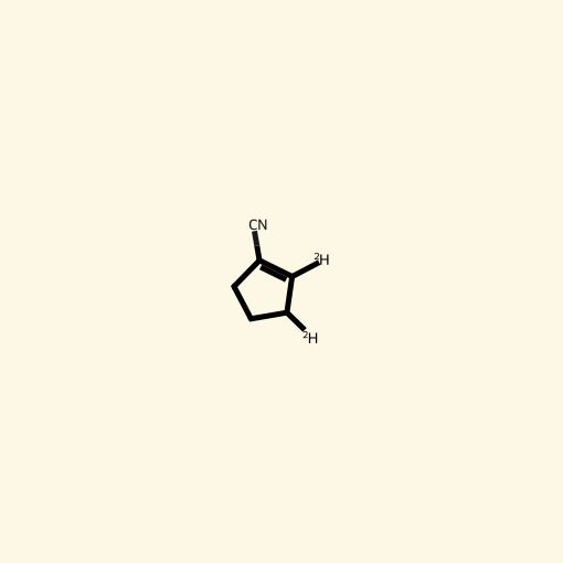 [2H]C1=C(C#N)CCC1[2H]